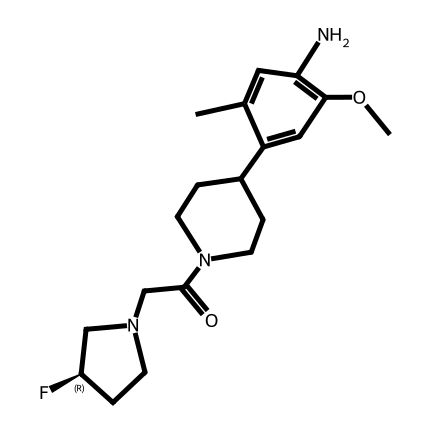 COc1cc(C2CCN(C(=O)CN3CC[C@@H](F)C3)CC2)c(C)cc1N